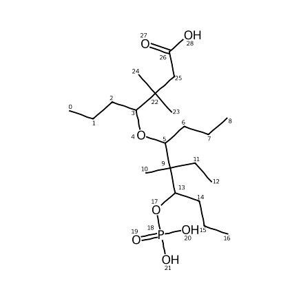 CCCC(OC(CCC)C(C)(CC)C(CCC)OP(=O)(O)O)C(C)(C)CC(=O)O